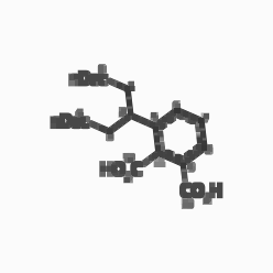 CCCCCCCCCCCC(CCCCCCCCCCC)c1cccc(C(=O)O)c1C(=O)O